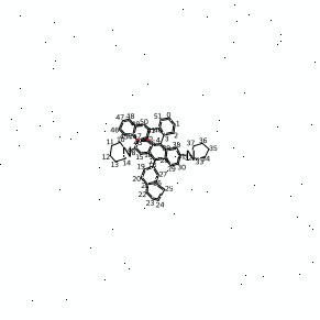 c1ccc(-c2c3ccc(N4CCCCC4)cc3c(-c3ccc4ccccc4c3)c3ccc(N4CCCCC4)cc23)c(-c2ccc3ccccc3c2)c1